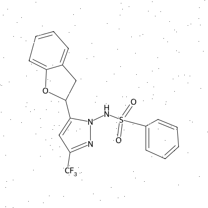 O=S(=O)(Nn1nc(C(F)(F)F)cc1C1Cc2ccccc2O1)c1ccccc1